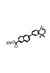 COC(=O)c1ccc2cc(-c3ccc4c(c3)C(C)(C)CCN4C)ccc2c1